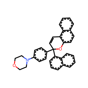 C1=CC(c2ccc(N3CCOCC3)cc2)(c2cccc3ccccc23)Oc2ccc3ccccc3c21